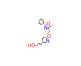 Cc1oc(-c2ccccc2)nc1CCOc1ccc(C=CCO)cn1